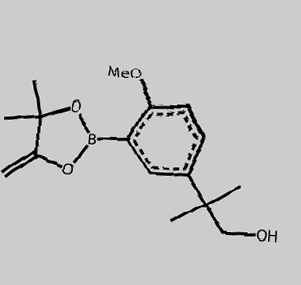 C=C1OB(c2cc(C(C)(C)CO)ccc2OC)OC1(C)C